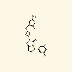 Cn1nc(C(F)(F)F)cc1O[C@H]1C[C@H](n2nc3n(c2=O)[C@H](c2cc(F)cc(F)c2)CC3)C1